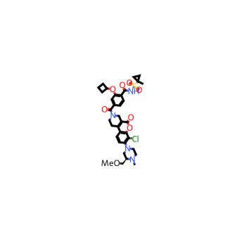 COC[C@H]1CN(c2ccc3c4c(c(=O)oc3c2Cl)CN(C(=O)c2ccc(C(=O)NS(=O)(=O)C3(C)CC3)c(OC3CCC3)c2)CC4)CCN1C